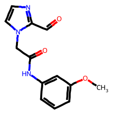 COc1cccc(NC(=O)Cn2ccnc2C=O)c1